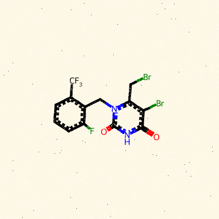 O=c1[nH]c(=O)n(Cc2c(F)cccc2C(F)(F)F)c(CBr)c1Br